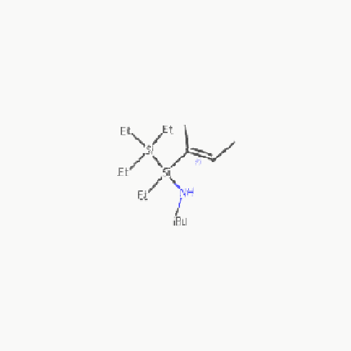 C/C=C(\C)[Si](CC)(NC(C)CC)[Si](CC)(CC)CC